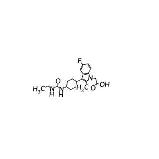 CCNC(=O)NC1CCC(c2c(C)n(CC(=O)O)c3ccc(F)cc23)CC1